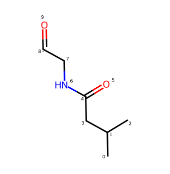 CC(C)CC(=O)NC[C]=O